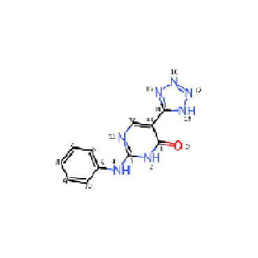 O=c1[nH]c(Nc2ccccc2)ncc1-c1nnn[nH]1